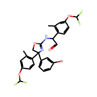 Cc1cc(OC(F)F)ccc1C(C=O)NC1=NC(c2cccc(Br)c2)(c2ccc(OC(F)F)cc2C)CO1